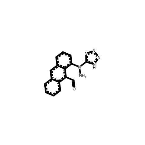 NN(c1nnn[nH]1)c1cccc2cc3ccccc3c(C=O)c12